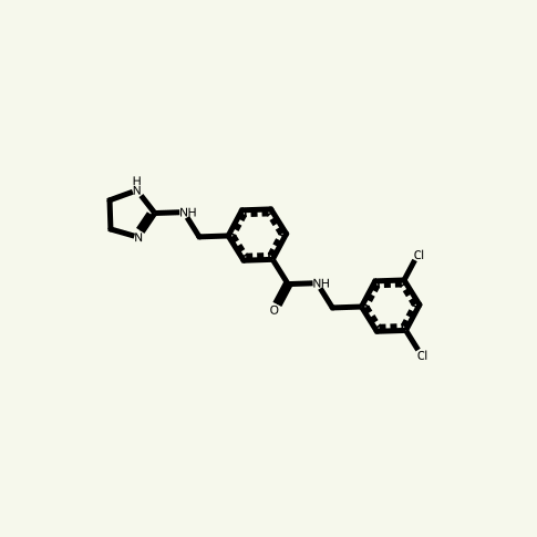 O=C(NCc1cc(Cl)cc(Cl)c1)c1cccc(CNC2=NCCN2)c1